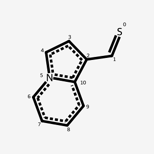 S=Cc1ccn2ccccc12